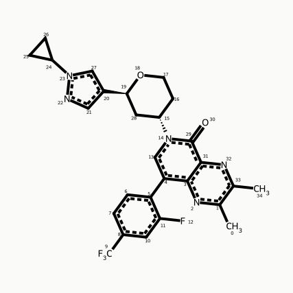 Cc1nc2c(-c3ccc(C(F)(F)F)cc3F)cn([C@H]3CCO[C@H](c4cnn(C5CC5)c4)C3)c(=O)c2nc1C